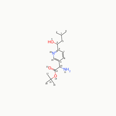 CC(C)CC(O)c1ccc(C(N)C(=O)OC(C)(C)C)cn1